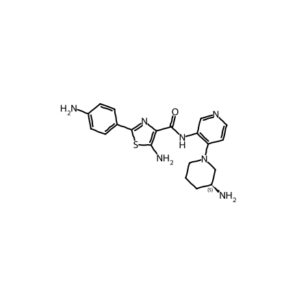 Nc1ccc(-c2nc(C(=O)Nc3cnccc3N3CCC[C@H](N)C3)c(N)s2)cc1